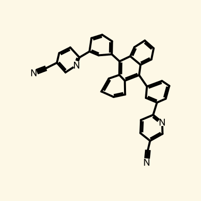 N#Cc1ccc(-c2cccc(-c3c4ccccc4c(-c4cccc(-c5ccc(C#N)cn5)c4)c4ccccc34)c2)nc1